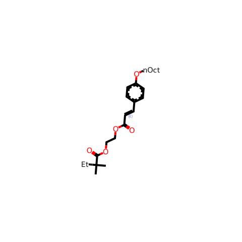 CCCCCCCCOc1ccc(/C=C/C(=O)OCCOC(=O)C(C)(C)CC)cc1